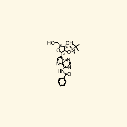 CC(C)(C)[Si](C)(C)OC1[C@@H](O)[C@@H](CO)O[C@H]1c1cnc2c(NC(=O)c3ccccc3)ncnn12